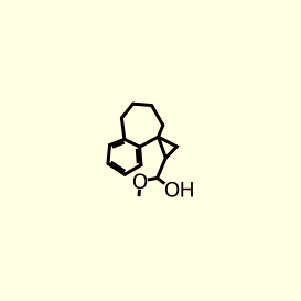 COC(O)C1CC12CCCCc1ccccc12